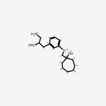 NCC(C=O)Cc1cccc(OCC2(O)CCCCCC2)c1